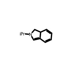 CC(C)N1C=C2C=CC=CC2C1